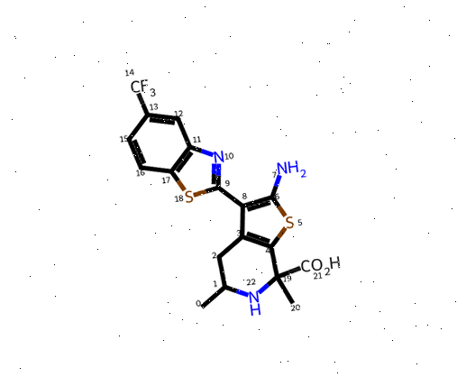 CC1Cc2c(sc(N)c2-c2nc3cc(C(F)(F)F)ccc3s2)C(C)(C(=O)O)N1